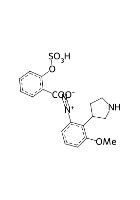 COc1cccc([N+]#N)c1C1CCNC1.O=C([O-])c1ccccc1OS(=O)(=O)O